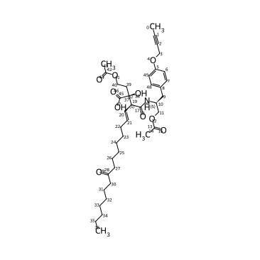 CC#CCOc1ccc(C[C@@H](COC(C)=O)NC(=O)[C@@H](C=CCCCCCCC(=O)CCCCCCC)[C@@](O)(CCOC(C)=O)C(=O)O)cc1